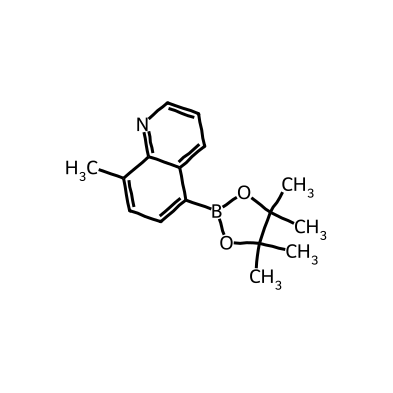 Cc1ccc(B2OC(C)(C)C(C)(C)O2)c2cccnc12